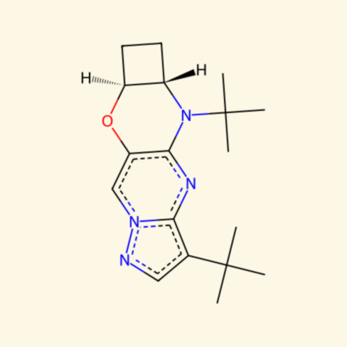 CC(C)(C)c1cnn2cc3c(nc12)N(C(C)(C)C)[C@H]1CC[C@@H]1O3